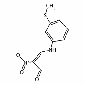 CSc1cccc(N/C=C(\C=O)[N+](=O)[O-])c1